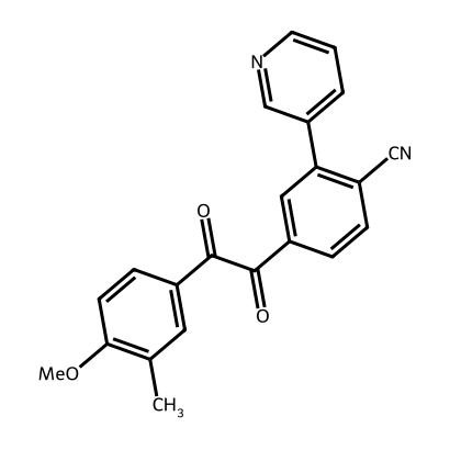 COc1ccc(C(=O)C(=O)c2ccc(C#N)c(-c3cccnc3)c2)cc1C